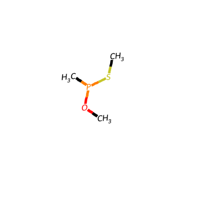 COP(C)SC